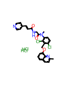 Cc1ccc2cccc(OCc3c(Cl)ccc(N(C)C(=O)CNC(=O)/C=C/c4ccncc4)c3Cl)c2n1.Cl.Cl